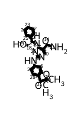 CC1(C)Oc2cc(Nc3ncc(C(N)=O)c(N[C@H](CO)c4ccccc4)n3)ccc2C1=O